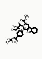 COC(=O)[C@H]1Cc2c([nH]c3ccccc23)[C@H](c2ccc(C(=O)OC(C)(C)C)cc2)N1C(=O)C(C)(C)CCl